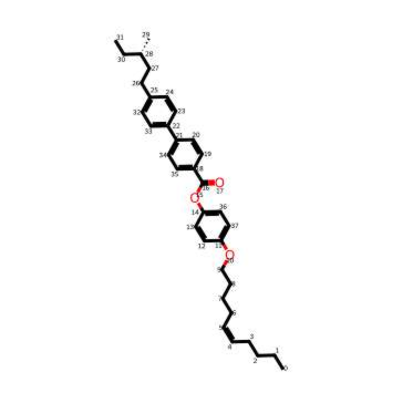 CCCC/C=C\CCCCOc1ccc(OC(=O)c2ccc(-c3ccc(CC[C@@H](C)CC)cc3)cc2)cc1